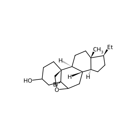 CC[C@H]1CC[C@H]2[C@@H]3CC4OC[C@@]5(CCC(O)CC45Br)[C@H]3CC[C@]12C